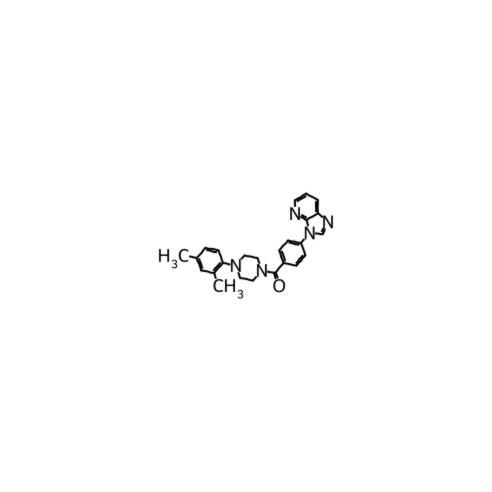 Cc1ccc(N2CCN(C(=O)c3ccc(-n4cnc5cccnc54)cc3)CC2)c(C)c1